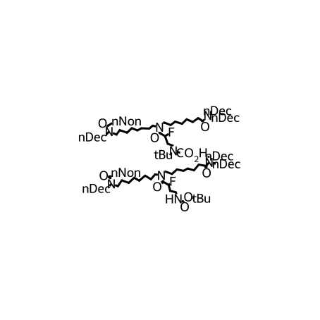 CCCCCCCCCCN(CCCCCCCCN(CCCCCCCC(=O)N(CCCCCCCCCC)CCCCCCCCCC)C(=O)C(F)CCN(C(=O)O)C(C)(C)C)C(=O)CCCCCCCCC.CCCCCCCCCCN(CCCCCCCCN(CCCCCCCC(=O)N(CCCCCCCCCC)CCCCCCCCCC)C(=O)C(F)CCNC(=O)OC(C)(C)C)C(=O)CCCCCCCCC